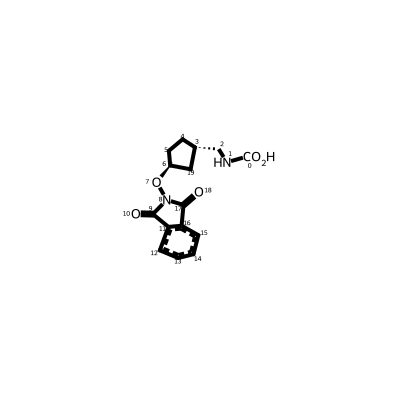 O=C(O)NC[C@H]1CC[C@H](ON2C(=O)c3ccccc3C2=O)C1